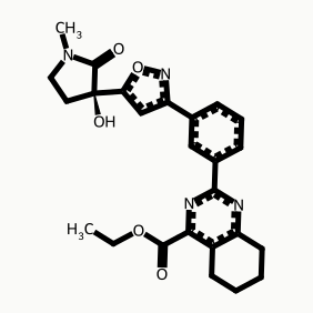 CCOC(=O)c1nc(-c2cccc(-c3cc([C@]4(O)CCN(C)C4=O)on3)c2)nc2c1CCCC2